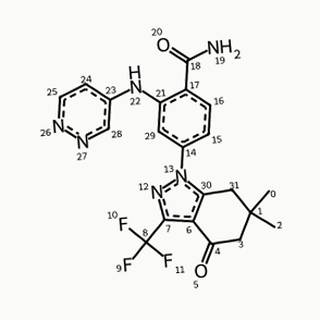 CC1(C)CC(=O)c2c(C(F)(F)F)nn(-c3ccc(C(N)=O)c(Nc4ccnnc4)c3)c2C1